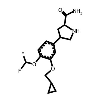 NC(=O)C1CC(c2ccc(OC(F)F)c(OCC3CC3)c2)CN1